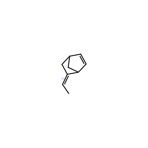 C/C=C1/C[C]2C=CC1C2